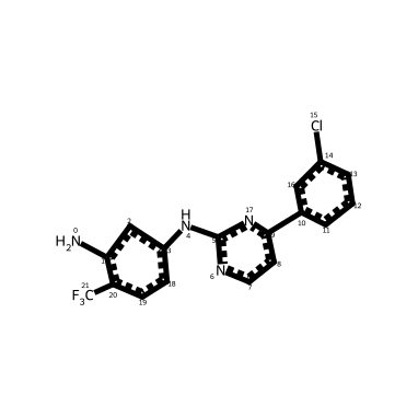 Nc1cc(Nc2nccc(-c3cccc(Cl)c3)n2)ccc1C(F)(F)F